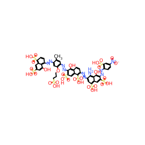 Cc1cc(N=Nc2c(S(=O)(=O)O)cc3c(S(=O)(=O)O)c(N=Nc4cc(S(=O)(=O)O)c5cc(S(=O)(=O)O)c(N=Nc6ccc([N+](=O)[O-])cc6S(=O)(=O)O)c(O)c5c4N)ccc3c2O)c(OCCCS(=O)(=O)O)cc1N=Nc1ccc(S(=O)(=O)O)c2cc(S(=O)(=O)O)cc(O)c12